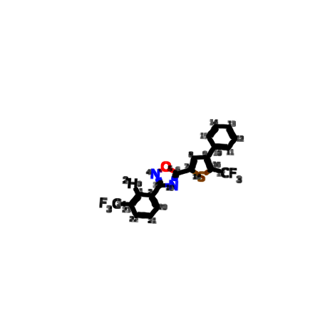 [2H]c1c(-c2noc(-c3cc(-c4ccccc4)c(C(F)(F)F)s3)n2)cccc1C(F)(F)F